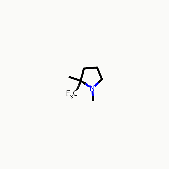 CN1CCCC1(C)C(F)(F)F